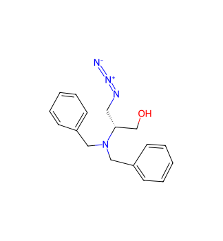 [N-]=[N+]=NC[C@H](CO)N(Cc1ccccc1)Cc1ccccc1